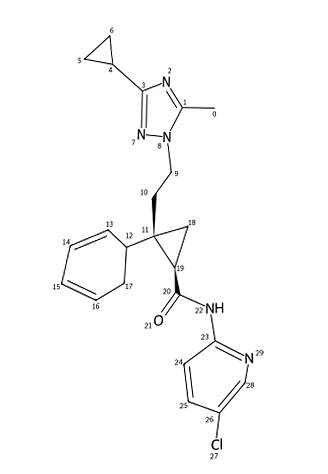 Cc1nc(C2CC2)nn1CC[C@@]1(C2C=CC=CC2)C[C@H]1C(=O)Nc1ccc(Cl)cn1